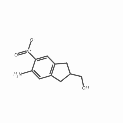 Nc1cc2c(cc1[N+](=O)[O-])CC(CO)C2